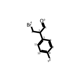 O=CC(CBr)c1ccc(I)cc1